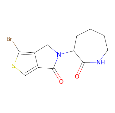 O=C1NCCCCC1N1Cc2c(csc2Br)C1=O